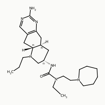 CCCN1C[C@@H](NC(=O)N(CC)CCN2CCCCCC2)C[C@@H]2Cc3nc(N)ncc3C[C@H]21